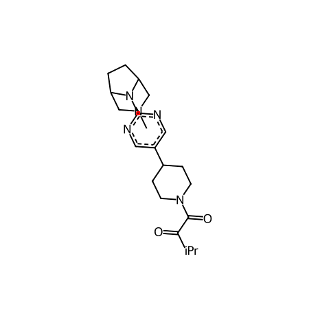 CC(C)C(=O)C(=O)N1CCC(c2cnc(N3C4CCC3CN(C)C4)nc2)CC1